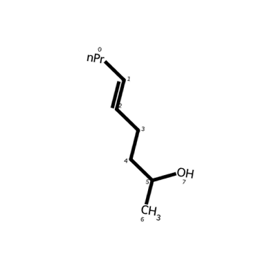 CCC/C=C/CCC(C)O